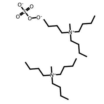 CCCC[N+](C)(CCCC)CCCC.CCCC[N+](C)(CCCC)CCCC.O=S(=O)([O-])O[O-]